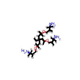 CCC(CC(C)OCC(C)C(C)(C)N)(CC(C)(C)OCC(C)C(C)(C)N)CC(C)(C)OCC(C)C(C)(C)N